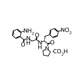 Nc1ccccc1C(=O)NCC(=O)N[C@@H](Cc1ccc([N+](=O)[O-])cc1)C(=O)N1CCC[C@H]1C(=O)O